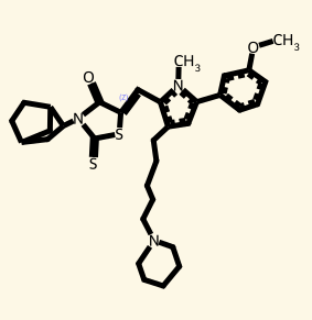 COc1cccc(-c2cc(CCCCCN3CCCCC3)c(/C=C3\SC(=S)N(C4CC5CCC4C5)C3=O)n2C)c1